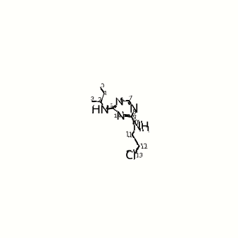 CCC(C)Nc1ncnc(NCCCl)n1